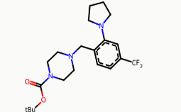 CC(C)(C)OC(=O)N1CCN(Cc2ccc(C(F)(F)F)cc2N2CCCC2)CC1